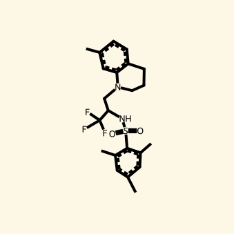 Cc1cc(C)c(S(=O)(=O)NC(CN2CCCc3ccc(C)cc32)C(F)(F)F)c(C)c1